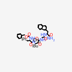 CCC(C)C(C(=O)C(=O)NCC(=O)NC(Cc1ccc2ccccc2c1)C(N)=O)N(C)C(=O)C(CC(C)C)NC(=O)OCc1ccccc1